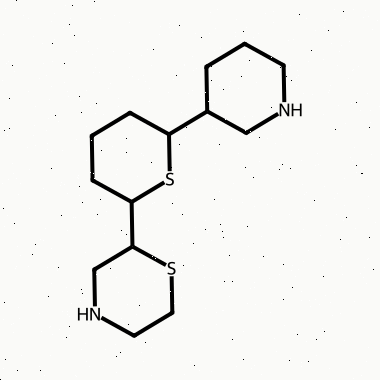 C1CNCC(C2CCCC(C3CNCCS3)S2)C1